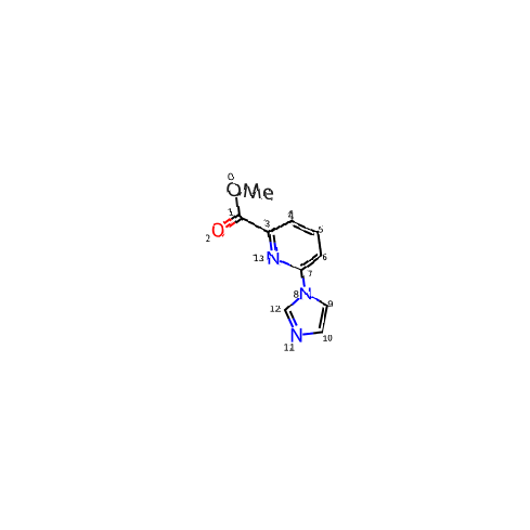 COC(=O)c1cccc(-n2ccnc2)n1